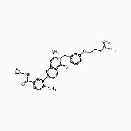 Cc1ccc(C(=O)NC2CC2)cc1-c1ccc2c(=O)n(Cc3cccc(OCCCN(C)C)c3)c(C)cc2c1